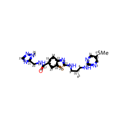 CSc1cnc(NC[C@H](C)CNc2nc3ccc(C(=O)NCc4ncnn4C)cc3s2)nc1